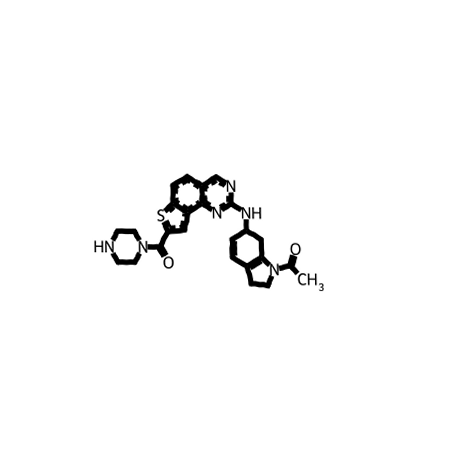 CC(=O)N1CCC2=C1CC(Nc1ncc3ccc4sc(C(=O)N5CCNCC5)cc4c3n1)C=C2